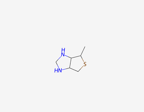 CC1SCC2NCNC21